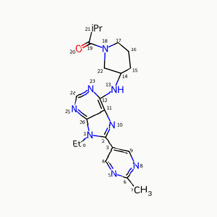 CCn1c(-c2cnc(C)nc2)nc2c(NC3CCCN(C(=O)C(C)C)C3)ncnc21